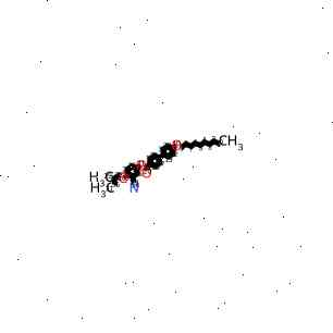 CCCCCCCCCCOc1ccc(-c2ccc(C(=O)Oc3ccc(OC[C@@H](C)CC)c(C#N)c3)cc2)cc1